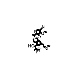 CCOc1cc(C(C)N2CCc3c(cc(CCN(C)CC)cc3C(O)C(C)C(F)(F)F)C2=O)ncc1C#N